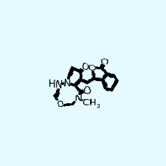 CN1CCO/C=C/Nn2ccc(=O)c(CC3OC(=O)c4ccccc43)c2C1=O